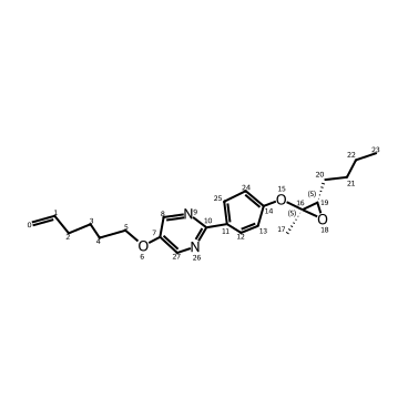 C=CCCCCOc1cnc(-c2ccc(O[C@]3(C)O[C@H]3CCCC)cc2)nc1